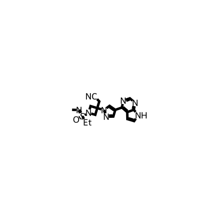 CCS(=O)(=NC)N1CC(CC#N)(n2cc(-c3ncnc4[nH]ccc34)cn2)C1